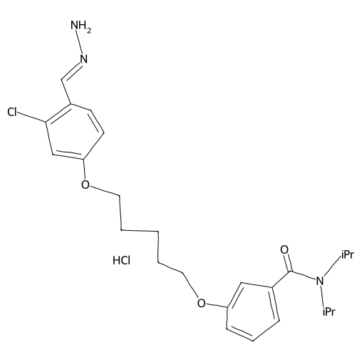 CC(C)N(C(=O)c1cccc(OCCCCCOc2ccc(C=NN)c(Cl)c2)c1)C(C)C.Cl